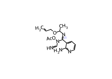 C=CCOC(C)/N=C(/c1cccnc1N)N(C=N)OC(C)=O